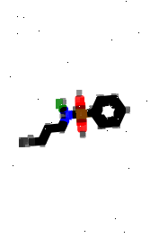 CC(C)CCCN(F)S(=O)(=O)c1ccccc1